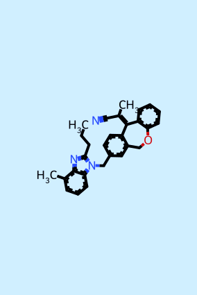 CCCc1nc2c(C)cccc2n1Cc1ccc2c(c1)COc1ccccc1/C2=C(\C)C#N